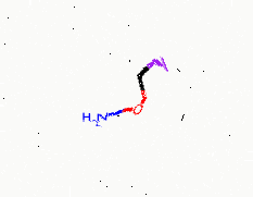 NOCI